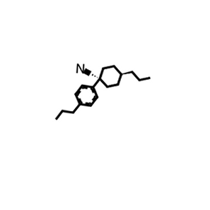 CCCc1ccc([C@]2(C#N)CC[C@H](CCC)CC2)cc1